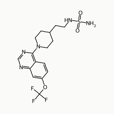 NS(=O)(=O)NCCC1CCN(c2ncnc3cc(OC(F)(F)F)ccc23)CC1